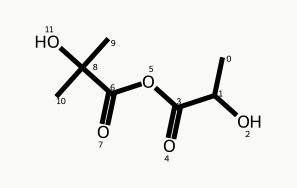 CC(O)C(=O)OC(=O)C(C)(C)O